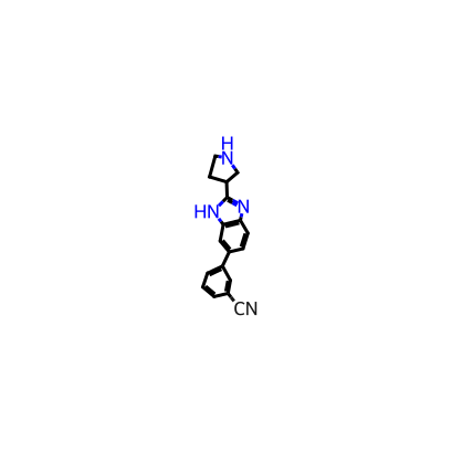 N#Cc1cccc(-c2ccc3nc(C4CCNC4)[nH]c3c2)c1